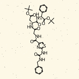 CC(C)(C)OC(=O)C[C@H](NC(=O)CNC(=O)c1csc(NC(=O)NCc2ccccc2)n1)C(=O)N[C@H](C(=O)OC(C)(C)C)c1ccccc1